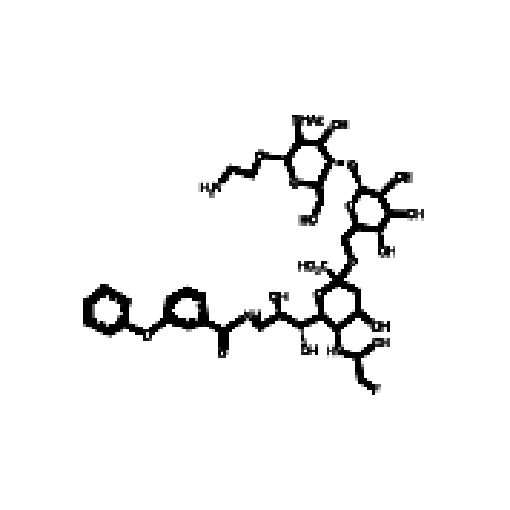 CC(=O)NC1C(O)[C@H](O[C@@H]2OC(CO[C@]3(C(=O)O)CC(O)[C@@H](NC(O)CF)C([C@H](O)[C@H](O)CNC(=O)c4cccc(Oc5ccccc5)c4)O3)[C@H](O)C(O)C2O)C(CO)O[C@H]1OCCN